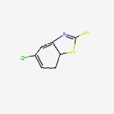 SC1=NC2=CC(Cl)=CCC2S1